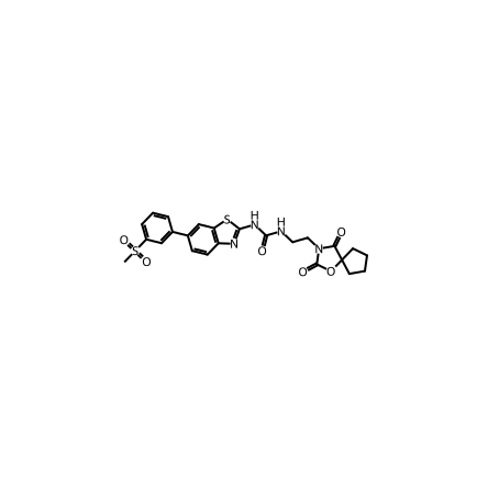 CS(=O)(=O)c1cccc(-c2ccc3nc(NC(=O)NCCN4C(=O)OC5(CCCC5)C4=O)sc3c2)c1